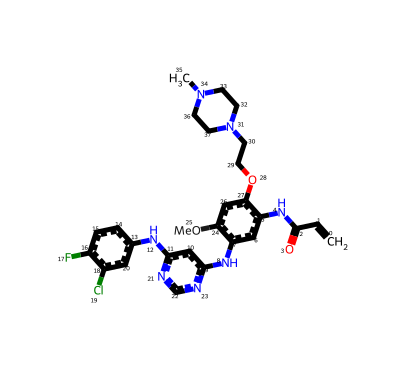 C=CC(=O)Nc1cc(Nc2cc(Nc3ccc(F)c(Cl)c3)ncn2)c(OC)cc1OCCN1CCN(C)CC1